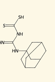 N=C(NC(=S)S)NC12CC3CC(CC(C3)C1)C2